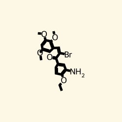 CCOc1ccc(C(=O)/C(Br)=C\c2cc(OC)cc(OC)c2OC)cc1N